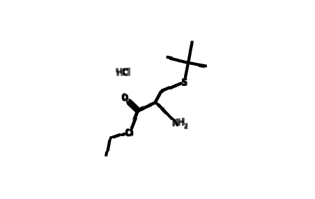 CCOC(=O)C(N)CSC(C)(C)C.Cl